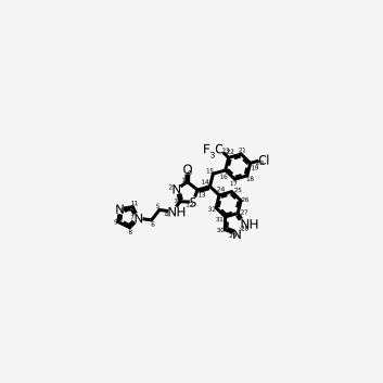 O=C1N=C(NCCn2ccnc2)SC1=C(Cc1ccc(Cl)cc1C(F)(F)F)c1ccc2[nH]ncc2c1